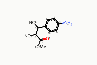 COC(=O)C(C#N)C(C#N)c1ccc(N)cc1